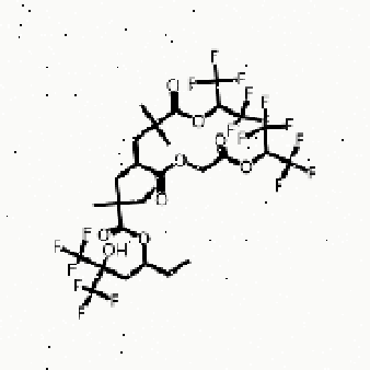 CCC(CC(O)(C(F)(F)F)C(F)(F)F)OC(=O)C(C)(CC)CC(CC(C)(C)C(=O)OC(C(F)(F)F)C(F)(F)F)C(=O)OCC(=O)OC(C(F)(F)F)C(F)(F)F